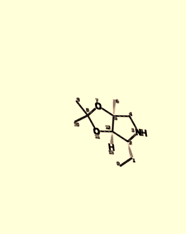 CC[C@H]1NC[C@]2(C)OC(C)(C)O[C@H]12